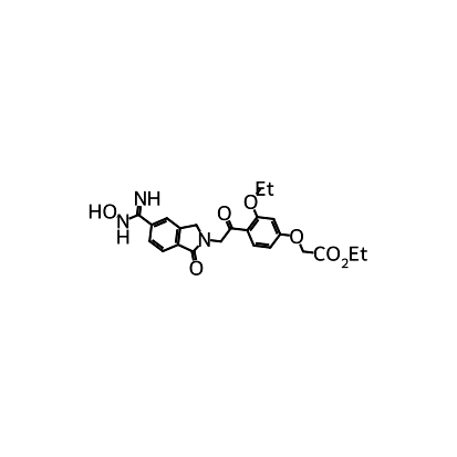 CCOC(=O)COc1ccc(C(=O)CN2Cc3cc(C(=N)NO)ccc3C2=O)c(OCC)c1